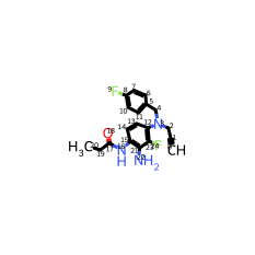 C#CCN(Cc1ccc(F)cc1)c1ccc(NC(=O)CC)c(N)c1F